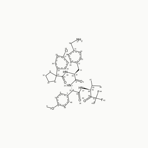 COc1ccc([C@H](NC(=O)[C@H](Cc2ccc(CN)cc2)NC(=O)C2(c3ccc(Cl)cc3)CCCC2)C(=O)N[C@H](C(=O)C(F)(F)F)C(C)C)cc1